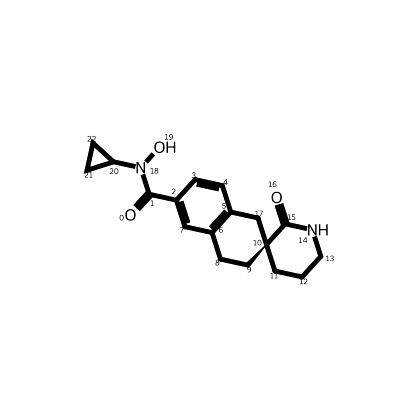 O=C(c1ccc2c(c1)CC[C@@]1(CCCNC1=O)C2)N(O)C1CC1